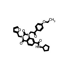 CCOc1ccc(C(=O)Cn2c(=O)n(Cc3ccco3)c(=O)c3ccc(C(=O)NC4CCCC4)cc32)cc1